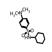 CN(C)c1ccc(S(=O)(=O)NC2CCCCC2)cc1